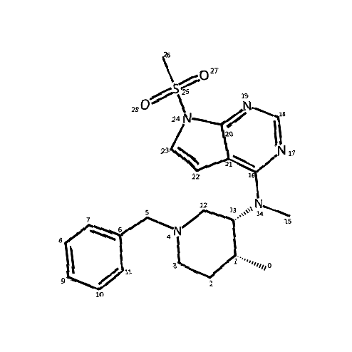 C[C@@H]1CCN(Cc2ccccc2)C[C@@H]1N(C)c1ncnc2c1ccn2S(C)(=O)=O